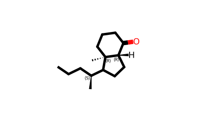 CCC[C@H](C)C1CC[C@H]2C(=O)CCC[C@]12C